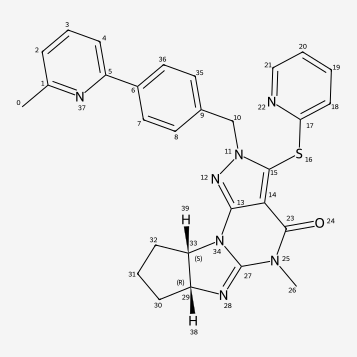 Cc1cccc(-c2ccc(Cn3nc4c(c3Sc3ccccn3)C(=O)N(C)C3=N[C@@H]5CCC[C@@H]5N34)cc2)n1